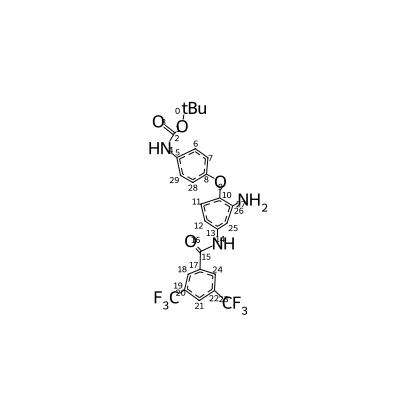 CC(C)(C)OC(=O)Nc1ccc(Oc2ccc(NC(=O)c3cc(C(F)(F)F)cc(C(F)(F)F)c3)cc2N)cc1